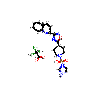 C[n+]1ccn(S(=O)(=O)N2CCC(c3nc(-c4ccc5ccccc5n4)no3)CC2)c1.O=C([O-])C(F)(F)F